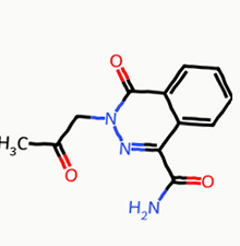 CC(=O)Cn1nc(C(N)=O)c2ccccc2c1=O